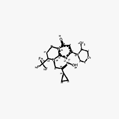 CC1COCCN1c1cc(=O)n2c(n1)N(CC(=NO)C1CC1)C(C(F)(F)F)CC2